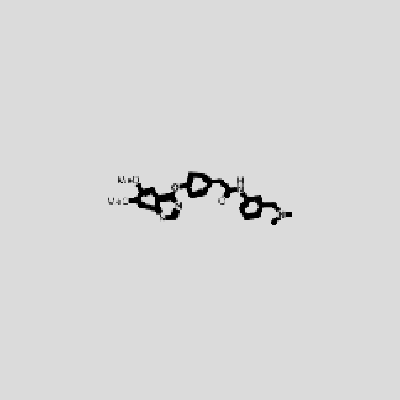 COc1cc2ncnc(Oc3ccc(CC(=O)Nc4cccc(CN(C)C)c4)cc3)c2cc1OC